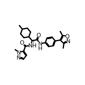 Cc1noc(C)c1-c1ccc(NC(=O)[C@@H](NC(=O)c2ccnn2C)C2CCC(C)CC2)cc1